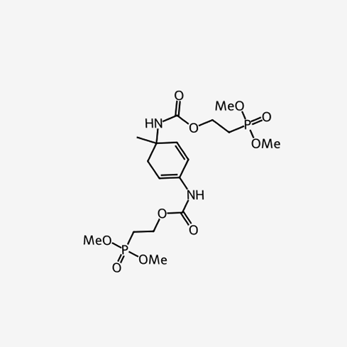 COP(=O)(CCOC(=O)NC1=CCC(C)(NC(=O)OCCP(=O)(OC)OC)C=C1)OC